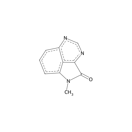 CN1C(=O)c2ncnc3cccc1c23